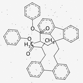 CC(Cc1ccccc1-c1ccccc1CCC1(CC(C)C(=O)Oc2ccccc2)c2ccccc2-c2ccccc21)C(=O)Oc1ccccc1